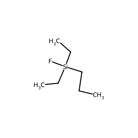 CCC[Si](F)(CC)CC